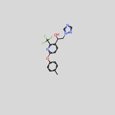 Cc1ccc(Oc2ccc(C(O)Cn3cncn3)c(C(F)(F)F)n2)cc1